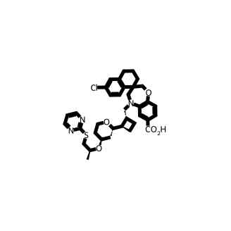 C[C@@H](CSc1ncccn1)O[C@H]1CCO[C@H]([C@@H]2CC[C@H]2CN2CC3(CCCc4cc(Cl)ccc43)COc3ccc(C(=O)O)cc32)C1